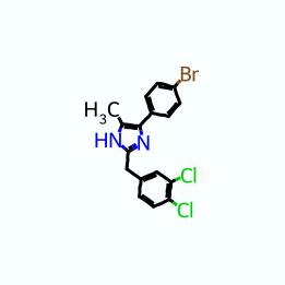 Cc1[nH]c(Cc2ccc(Cl)c(Cl)c2)nc1-c1ccc(Br)cc1